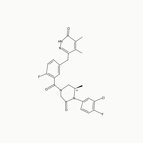 Cc1c(Cc2ccc(F)c(C(=O)N3CC(=O)N(c4ccc(F)c(Cl)c4)[C@H](C)C3)c2)n[nH]c(=O)c1C